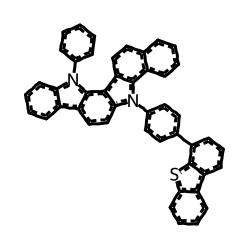 c1ccc(-n2c3ccccc3c3ccc4c(c5ccc6ccccc6c5n4-c4ccc(-c5cccc6c5sc5ccccc56)cc4)c32)cc1